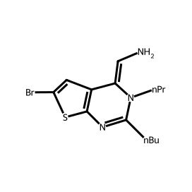 CCCCC1=Nc2sc(Br)cc2C(=CN)N1CCC